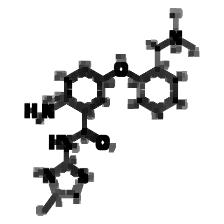 Cc1csc(NC(=O)c2cc(Oc3ccccc3CN(C)C)ccc2N)n1